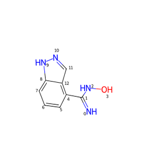 N=C(NO)c1cccc2[nH]ncc12